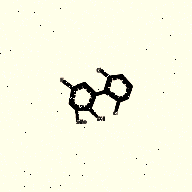 CSc1cc(F)cc(-c2c(Cl)cccc2Cl)c1O